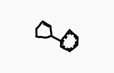 C1=C[C](c2ccccc2)CCC1